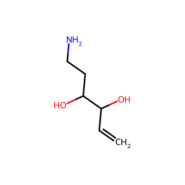 C=CC(O)C(O)CCN